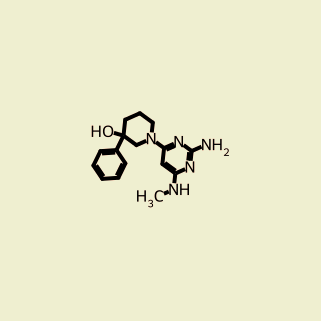 CNc1cc(N2CCCC(O)(c3ccccc3)C2)nc(N)n1